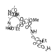 CC[C@@H]1OC(=O)[C@H](C)[C@H](O[C@@H]2C[C@](C)(OC)[C@H](OC(=O)CCNCCOc3ccc4c(c3)c(=O)c(C(=O)O)cn4CC)[C@H](C)O2)[C@@H](C)[C@H](O[C@@H]2O[C@H](C)C[C@H](N(C)C)[C@@H]2O)[C@](C)(O)C[C@H](C)CN(C)[C@H](C)[C@@H](O)[C@]1(C)O